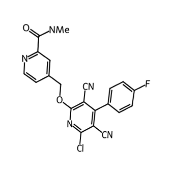 CNC(=O)c1cc(COc2nc(Cl)c(C#N)c(-c3ccc(F)cc3)c2C#N)ccn1